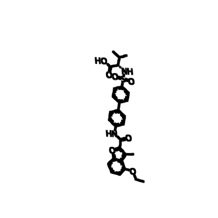 CCOc1cccc2oc(C(=O)Nc3ccc(-c4ccc(S(=O)(=O)N[C@H](C(=O)O)C(C)C)cc4)cc3)c(C)c12